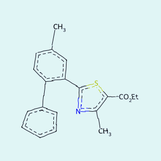 CCOC(=O)c1sc(-c2cc(C)ccc2-c2ccccc2)nc1C